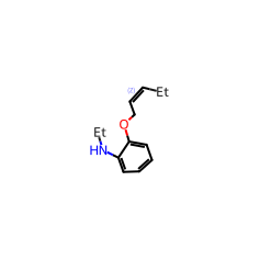 CC/C=C\COc1ccccc1NCC